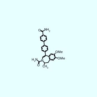 COc1cc2c(cc1OC)C(c1ccc(-c3ccc(C(N)=O)cc3)cc1)=CN(C(N)=O)C(C)C2